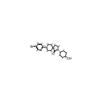 O=C1N([C@H]2CC[C@H](O)CC2)CCC12CCN(c1ccc(Br)cn1)CC2